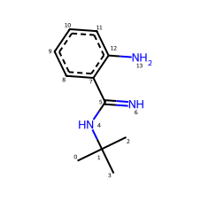 CC(C)(C)NC(=N)c1ccccc1N